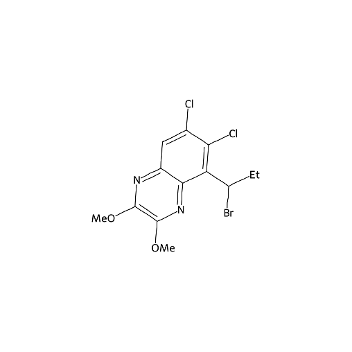 CCC(Br)c1c(Cl)c(Cl)cc2nc(OC)c(OC)nc12